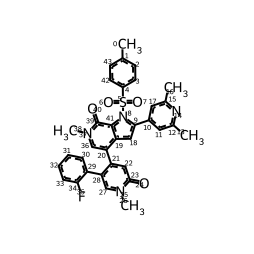 Cc1ccc(S(=O)(=O)n2c(-c3cc(C)nc(C)c3)cc3c(-c4cc(=O)n(C)cc4-c4ccccc4F)cn(C)c(=O)c32)cc1